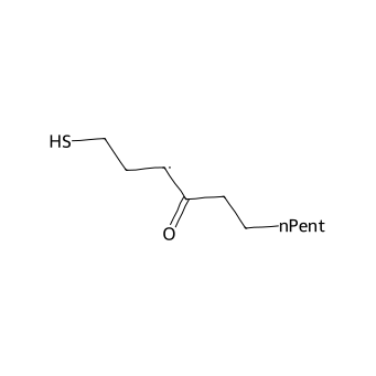 CCCCCCCC(=O)[CH]CCS